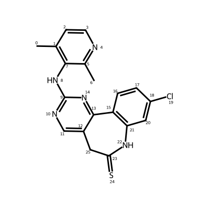 Cc1ccnc(C)c1Nc1ncc2c(n1)-c1ccc(Cl)cc1NC(=S)C2